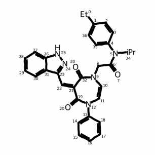 CCc1ccc(N(C(=O)CN2C=CN(c3ccccc3)C(=O)/C(=C/c3n[nH]c4ccccc34)C2=O)C(C)C)cc1